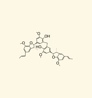 CC=Cc1cc(OC)c2c(c1)[C@@H](C)[C@H](c1cc(Cc3cc([C@@H]4Oc5c(OC)cc(C=CC)cc5[C@H]4C)cc(OC)c3O)c(O)c(OC)c1)O2